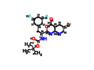 CC(C)(C)OC(=O)N[C@@H](Cc1cc(F)cc(F)c1)c1nc2ncc(Br)cc2c(=O)o1